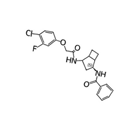 O=C(COc1ccc(Cl)c(F)c1)NC1C[C@H](NC(=O)c2ccccc2)C2CCC12